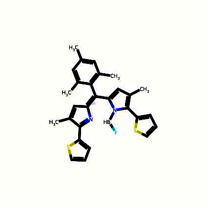 CC1=C/C(=C(\c2c(C)cc(C)cc2C)c2cc(C)c(-c3cccs3)n2BF)N=C1c1cccs1